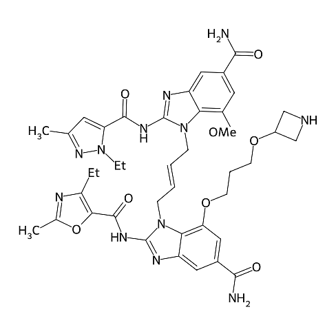 CCc1nc(C)oc1C(=O)Nc1nc2cc(C(N)=O)cc(OCCCOC3CNC3)c2n1C/C=C/Cn1c(NC(=O)c2cc(C)nn2CC)nc2cc(C(N)=O)cc(OC)c21